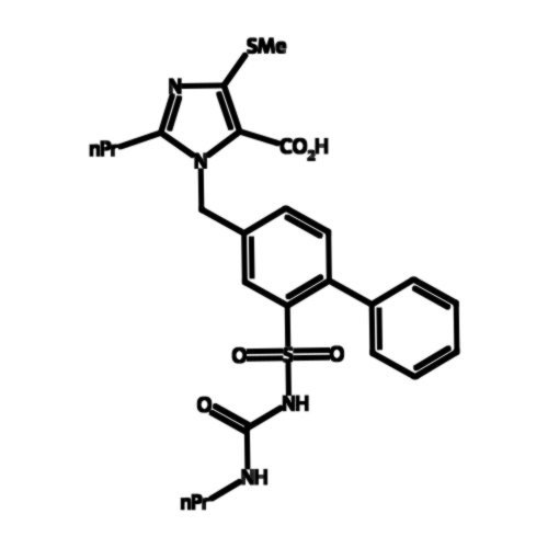 CCCNC(=O)NS(=O)(=O)c1cc(Cn2c(CCC)nc(SC)c2C(=O)O)ccc1-c1ccccc1